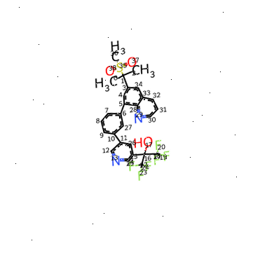 CC(C)(c1cc(-c2cccc(-c3cncc(C(O)(C(F)(F)F)C(F)(F)F)c3)c2)c2ncccc2c1)S(C)(=O)=O